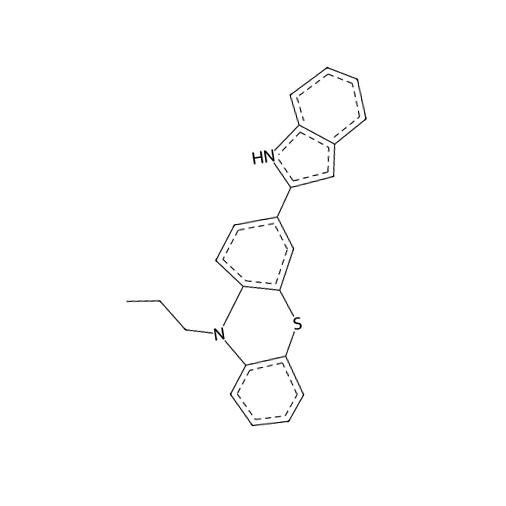 CCCN1c2ccccc2Sc2cc(-c3cc4ccccc4[nH]3)ccc21